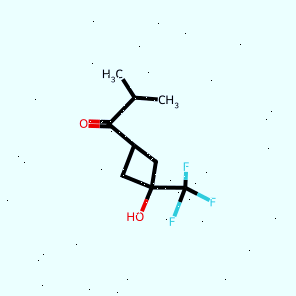 CC(C)C(=O)C1CC(O)(C(F)(F)F)C1